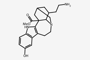 COC(=O)C12CC3CC(CCN)C1N(CCc1c2[nH]c2ccc(O)cc12)C3